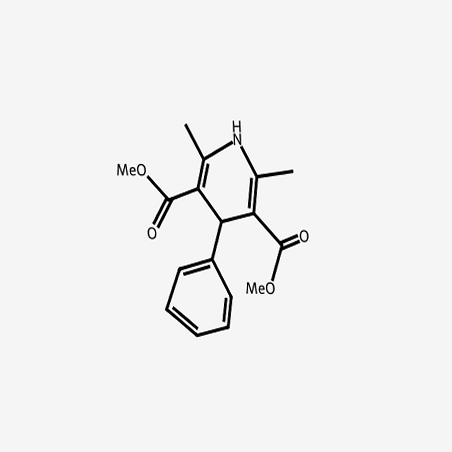 COC(=O)C1=C(C)NC(C)=C(C(=O)OC)C1c1ccccc1